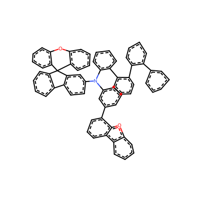 c1ccc(-c2ccccc2-c2ccccc2-c2ccccc2N(c2cccc(-c3cccc4c3oc3ccccc34)c2)c2ccc3c(c2)C2(c4ccccc4Oc4ccccc42)c2ccccc2-3)cc1